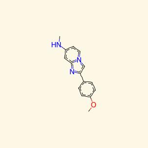 CNc1ccn2cc(-c3ccc(OC)cc3)nc2c1